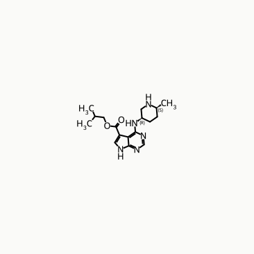 CC(C)COC(=O)c1c[nH]c2ncnc(N[C@@H]3CC[C@H](C)NC3)c12